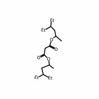 CCC(CC)CC(C)OC(=O)CC(=O)OC(C)CC(CC)CC